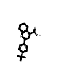 CC(C)(C)c1ccc(-c2cc(C(=O)O)c3ccccc3n2)cc1